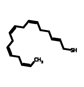 C/C=C\C/C=C\C/C=C\C/C=C\CC/C=C/CS